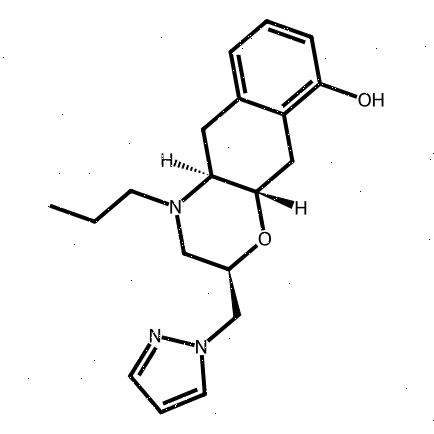 CCCN1C[C@H](Cn2cccn2)O[C@H]2Cc3c(O)cccc3C[C@@H]21